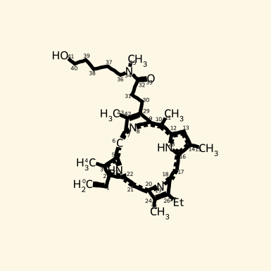 C=Cc1c(C)c2cc3nc(c(C)c4cc(C)c(cc5nc(cc1[nH]2)C(C)=C5CC)[nH]4)C(CCC(=O)N(C)CCCCCO)=C3C